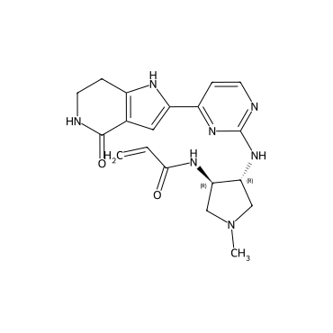 C=CC(=O)N[C@@H]1CN(C)C[C@H]1Nc1nccc(-c2cc3c([nH]2)CCNC3=O)n1